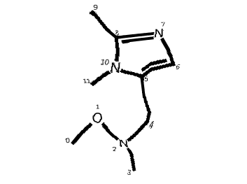 CON(C)Cc1cnc(C)n1C